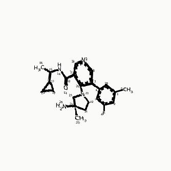 Cc1cc(F)cc(-c2cncc(C(=O)NC(C)C3CC3)c2N2CC[C@](C)(N)C2)c1